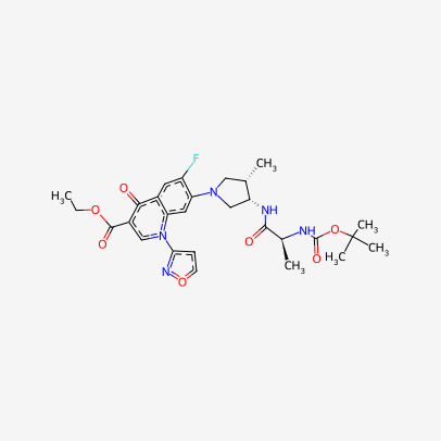 CCOC(=O)c1cn(-c2ccon2)c2cc(N3C[C@H](C)[C@H](NC(=O)[C@H](C)NC(=O)OC(C)(C)C)C3)c(F)cc2c1=O